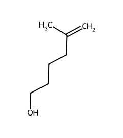 C=C(C)CCCCO